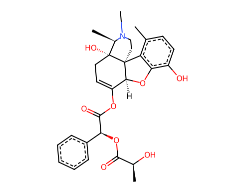 Cc1ccc(O)c2c1[C@]13CCN(C)[C@H](C)[C@]1(O)CC=C(OC(=O)[C@@H](OC(=O)[C@H](C)O)c1ccccc1)[C@@H]3O2